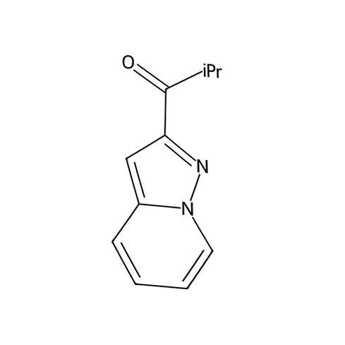 CC(C)C(=O)c1cc2ccccn2n1